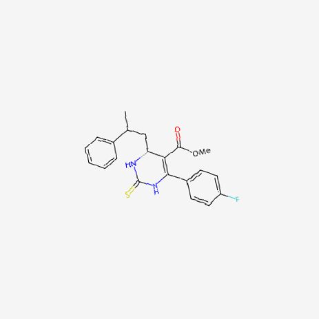 COC(=O)C1=C(c2ccc(F)cc2)NC(=S)NC1CC(C)c1ccccc1